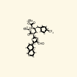 CC(C)(C)OC(=O)N[C@@H](Cc1ccc(C(F)(F)F)cc1)CN(C(=O)OC(C)(C)C)c1nc(C=O)c(-c2ccc3cnccc3c2)s1